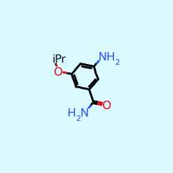 CC(C)Oc1cc(N)cc(C(N)=O)c1